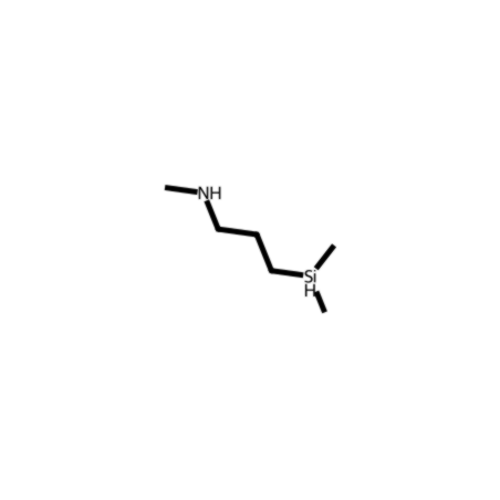 CNCCC[SiH](C)C